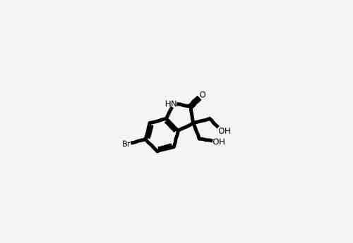 O=C1Nc2cc(Br)ccc2C1(CO)CO